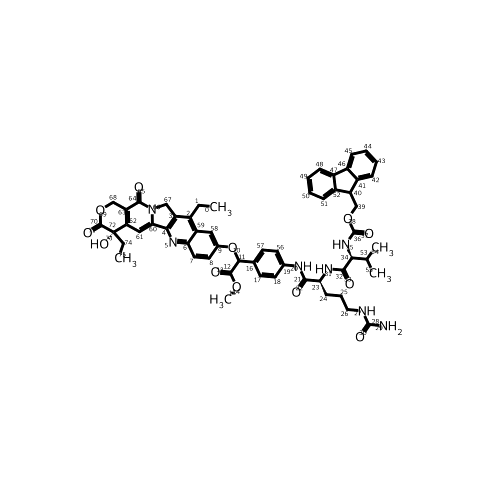 CCc1c2c(nc3ccc(OC(C(=O)OC)c4ccc(NC(=O)[C@H](CCCNC(N)=O)NC(=O)[C@@H](NC(=O)OCC5c6ccccc6-c6ccccc65)C(C)C)cc4)cc13)-c1cc3c(c(=O)n1C2)COC(=O)[C@]3(O)CC